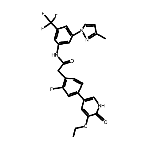 CCOc1cc(-c2ccc(CC(=O)Nc3cc(-n4ccc(C)n4)cc(C(F)(F)F)c3)c(F)c2)c[nH]c1=O